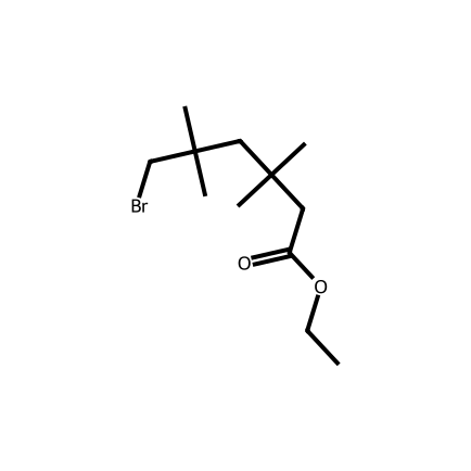 CCOC(=O)CC(C)(C)CC(C)(C)CBr